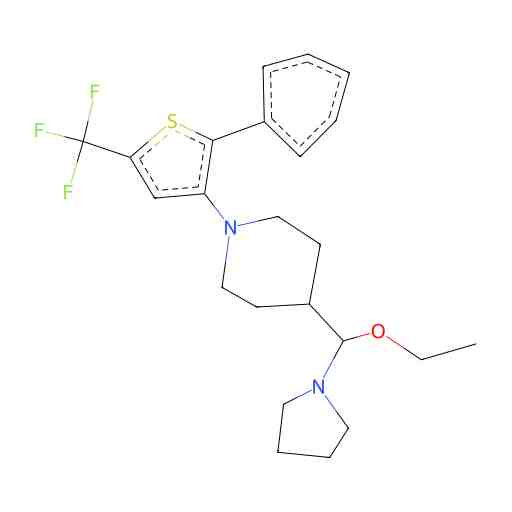 CCOC(C1CCN(c2cc(C(F)(F)F)sc2-c2ccccc2)CC1)N1CCCC1